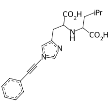 CC(C)CC(NC(Cc1cn(C#Cc2ccccc2)cn1)C(=O)O)C(=O)O